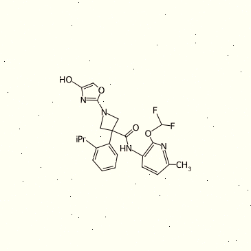 Cc1ccc(NC(=O)C2(c3ccccc3C(C)C)CN(c3nc(O)co3)C2)c(OC(F)F)n1